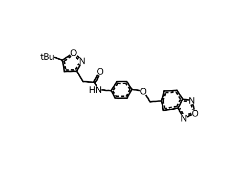 CC(C)(C)c1cc(CC(=O)Nc2ccc(OCc3ccc4nonc4c3)cc2)no1